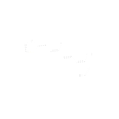 C=C/C(C)=C/C=C/C(C)=C/Cc1cccs1